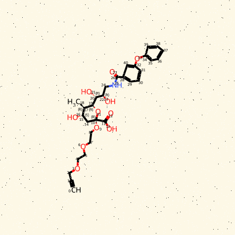 C#CCOCCOCCO[C@]1(C(=O)O)C[C@H](O)[C@@H](C)[C@H]([C@H](O)[C@H](O)CNC(=O)c2cccc(Oc3ccccc3)c2)O1